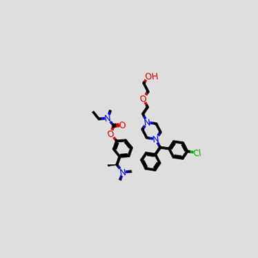 CCN(C)C(=O)Oc1cccc([C@H](C)N(C)C)c1.OCCOCCN1CCN(C(c2ccccc2)c2ccc(Cl)cc2)CC1